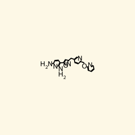 Nc1ccc(-c2cc(Cc3ccc(COc4ccccn4)nc3)no2)c(N)n1